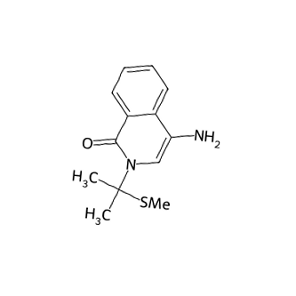 CSC(C)(C)n1cc(N)c2ccccc2c1=O